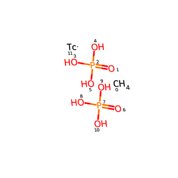 C.O=P(O)(O)O.O=P(O)(O)O.[Tc]